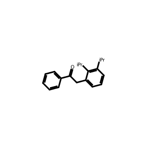 CC(C)c1cccc(CC(=O)c2ccccc2)c1C(C)C